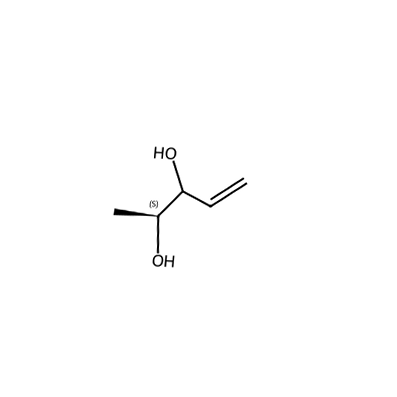 C=CC(O)[C@H](C)O